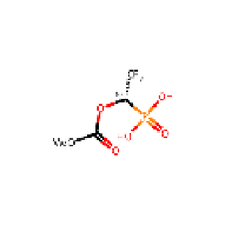 COC(=O)O[C@H](C(F)(F)F)P(=O)(O)O